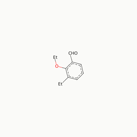 CCOc1c(C=O)cccc1CC